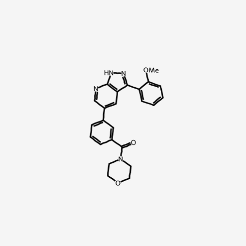 COc1ccccc1-c1n[nH]c2ncc(-c3cccc(C(=O)N4CCOCC4)c3)cc12